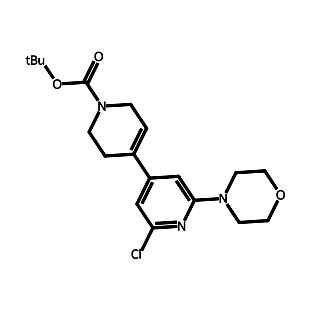 CC(C)(C)OC(=O)N1CC=C(c2cc(Cl)nc(N3CCOCC3)c2)CC1